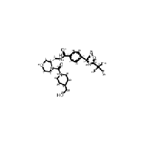 O=C(NC[C@H]1COCCN1C(=O)N1CCC(CO)CC1)c1ccc(-c2noc(C(F)(F)F)n2)cc1